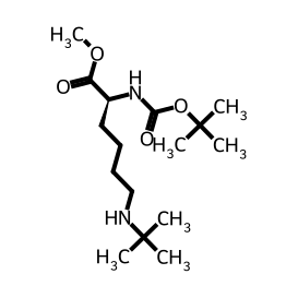 COC(=O)[C@H](CCCCNC(C)(C)C)NC(=O)OC(C)(C)C